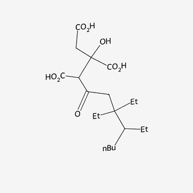 CCCCC(CC)C(CC)(CC)CC(=O)C(C(=O)O)C(O)(CC(=O)O)C(=O)O